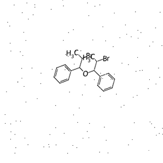 CC(Br)C(OC(c1ccccc1)C(C)Br)c1ccccc1